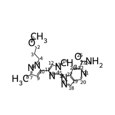 COCCCn1nc(C)cc1-c1cn(C)c(-n2ncc3cnc(C(N)=O)cc32)n1